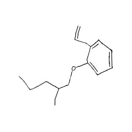 C=Cc1ccccc1OCC(C)CCC